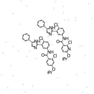 CC(C)Oc1ccc(C(=O)Nc2ccc(Cl)c(-c3ncc(-c4ccccc4)[nH]3)c2)c(Cl)c1.CC(C)Oc1ccc(C(=O)Nc2ccc(Cl)c(-c3ncc(-c4ccccc4)[nH]3)c2)c(Cl)n1